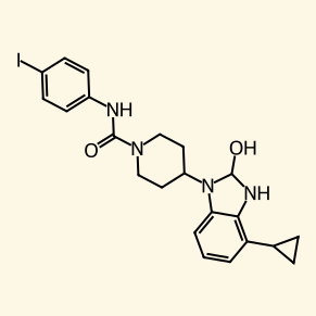 O=C(Nc1ccc(I)cc1)N1CCC(N2c3cccc(C4CC4)c3NC2O)CC1